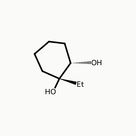 CC[C@@]1(O)CCCC[C@@H]1O